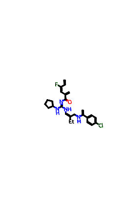 C=C/C(F)=C\C(=C)C(=O)/N=C(\N/C=C(/CC)CNC(=C)c1ccc(Cl)cc1)NC1CCCC1